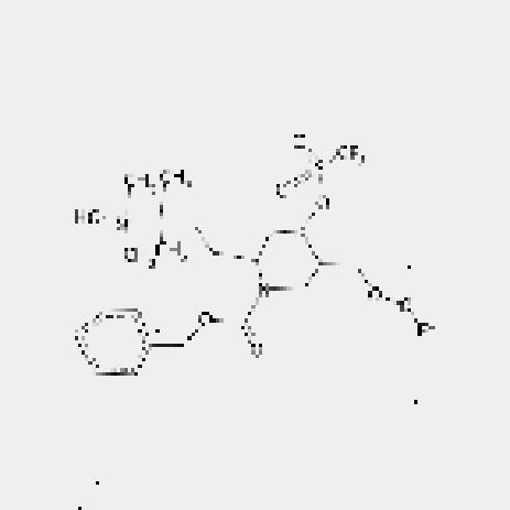 CCOOCC1CN(C(=O)OCc2ccccc2)C(CCC(C)(C)[Si](C)(C)O)C=C1OS(=O)(=O)C(F)(F)F